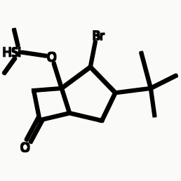 C[SiH](C)OC12CC(=O)C1CC(C(C)(C)C)C2Br